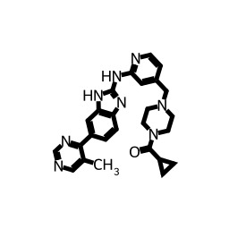 Cc1cncnc1-c1ccc2nc(Nc3cc(CN4CCN(C(=O)C5CC5)CC4)ccn3)[nH]c2c1